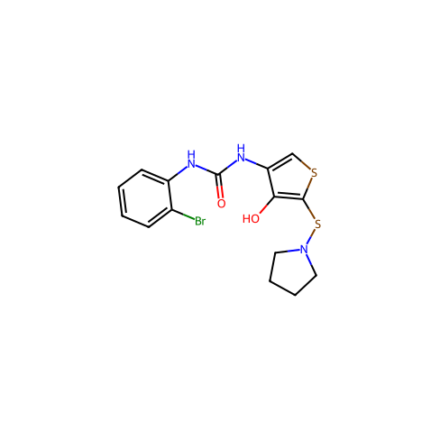 O=C(Nc1ccccc1Br)Nc1csc(SN2CCCC2)c1O